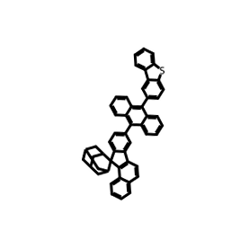 c1ccc2c3c(ccc2c1)-c1cc(-c2c4ccccc4c(-c4ccc5sc6ccccc6c5c4)c4ccccc24)ccc1C31C2CC3CC(C2)CC1C3